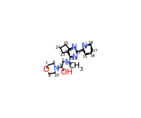 CN(CC(O)N1CCOCC1)c1nc(-c2ccccn2)nc2c1CCC2